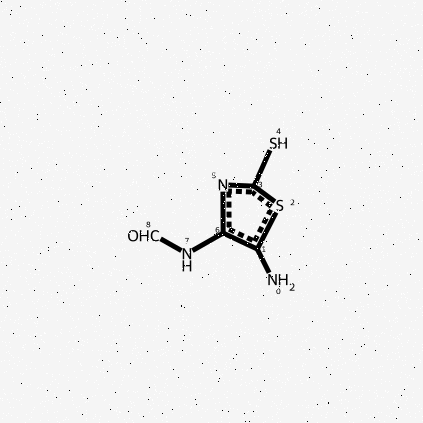 Nc1sc(S)nc1NC=O